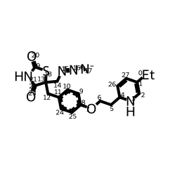 CCC1=CNC(CCOc2ccc(CC3(CN=[N+]=[N-])SC(=O)NC3=O)cc2)C=C1